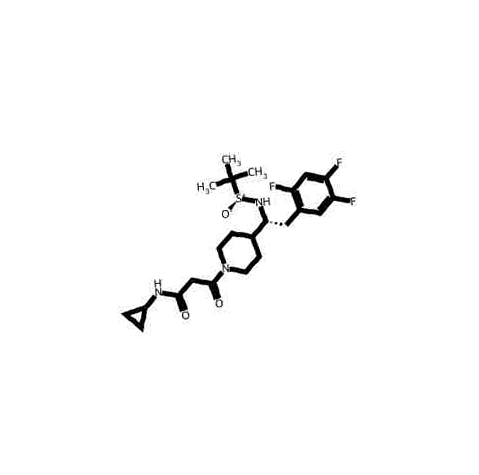 CC(C)(C)[S@+]([O-])N[C@H](Cc1cc(F)c(F)cc1F)C1CCN(C(=O)CC(=O)NC2CC2)CC1